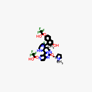 CC(C#N)C12C(c3cc(O)cc4ccccc34)CC(CNC1c1nc(OC[C@@H]3CCCN3C)nc3ccncc13)N2F.O=C(O)C(F)(F)F.O=C(O)C(F)(F)F